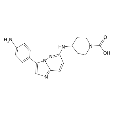 Nc1ccc(-c2cnc3ccc(NC4CCN(C(=O)O)CC4)nn23)cc1